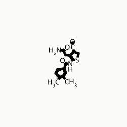 Cc1ccc(C(=O)NC2=C(CC(N)=O)C(=C=O)CS2)cc1C